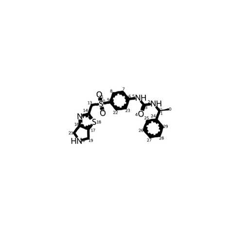 C[C@H](NC(=O)Nc1ccc(S(=O)(=O)Cc2nc3c(s2)CNC3)cc1)c1ccccc1